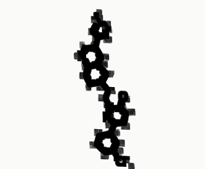 Cn1cc(-c2cnc3ccc(CCn4nc(-c5cccc(C(F)(F)F)c5)ccc4=O)cc3c2)cn1